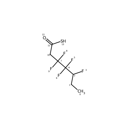 CCC(F)C(F)(F)C(F)(F)CC(=O)S